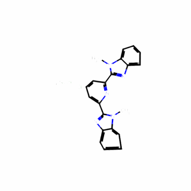 Cn1c(-c2cccc(-c3nc4ccccc4n3C)n2)nc2ccccc21.[Cl-].[Cl-].[Cl-].[V+3]